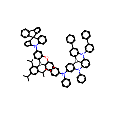 CC(C)c1cc(C(C)C)c(B2c3ccccc3Oc3cc(N4c5ccccc5C5(c6ccccc6-c6ccccc65)c5ccccc54)ccc32)c(C(C)Cc2ccc(N(c3ccccc3)c3ccc4c(c3)N(c3ccccc3)c3cccc5c3B4c3ccc(-c4ccccc4)cc3N5c3cccc(-c4ccccc4)c3)cc2)c1